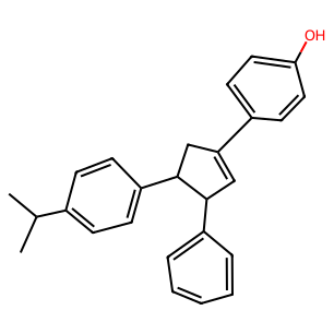 CC(C)c1ccc(C2CC(c3ccc(O)cc3)=CC2c2ccccc2)cc1